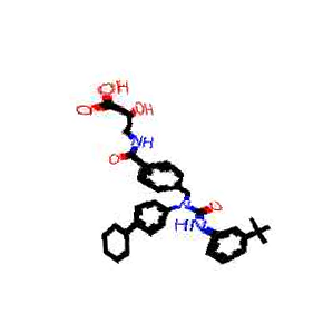 CC(C)(C)c1cccc(NC(=O)N(Cc2ccc(C(=O)NCC(O)C(=O)O)cc2)c2ccc(C3CCCCC3)cc2)c1